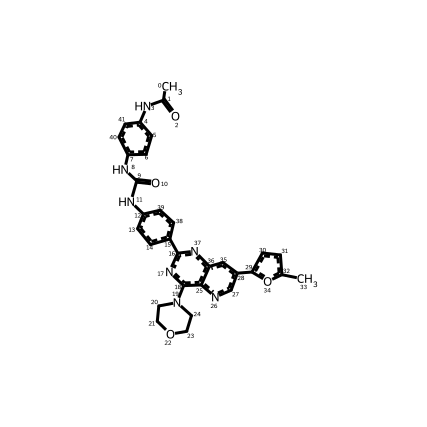 CC(=O)Nc1ccc(NC(=O)Nc2ccc(-c3nc(N4CCOCC4)c4ncc(-c5ccc(C)o5)cc4n3)cc2)cc1